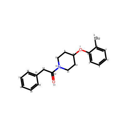 CC(C)(C)c1ccccc1OC1CCN(C(=O)Cc2ccccc2)CC1